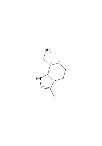 Cc1c[nH]c2c1CCO[C@H]2CN